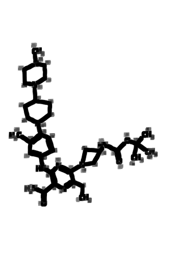 CCc1nc(C(N)=O)c(Nc2ccc(N3CCC(N4CCN(C)CC4)CC3)c(C)c2)nc1N1CC(NC(=O)OC(C)(C)C)C1